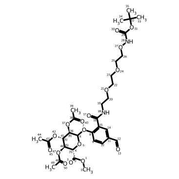 COC(=O)[C@H]1OC(Oc2ccc(C=O)cc2C(=O)NCCOCCOCCONC(=O)OC(C)(C)C)[C@H](OC(C)=O)[C@@H](OC(C)=O)[C@@H]1OC(C)=O